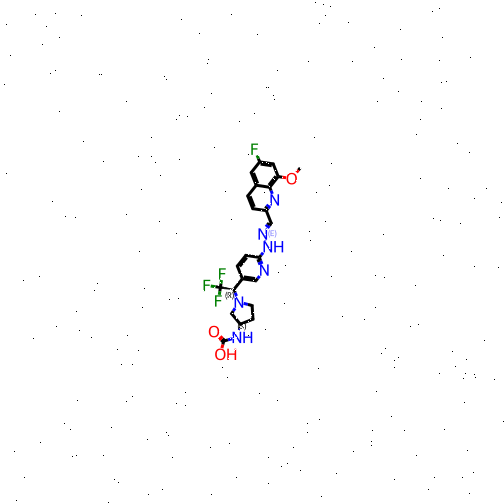 COc1cc(F)cc2ccc(/C=N/Nc3ccc([C@@H](N4CC[C@H](NC(=O)O)C4)C(F)(F)F)cn3)nc12